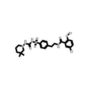 CCOc1ccc(Cl)cc1C(=O)NCCc1ccc(S(=O)(=O)NC(=O)NN2CCCC(C)(C)C2)cc1